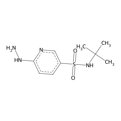 CC(C)(C)NS(=O)(=O)c1ccc(NN)nc1